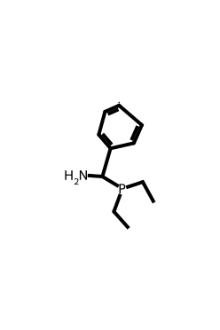 CCP(CC)C(N)c1cc[c]cc1